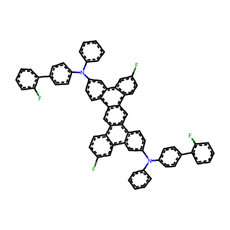 Fc1ccc2c(c1)c1cc(N(c3ccccc3)c3ccc(-c4ccccc4F)cc3)ccc1c1cc3c4ccc(F)cc4c4cc(N(c5ccccc5)c5ccc(-c6ccccc6F)cc5)ccc4c3cc21